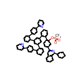 O=S(=O)(Oc1cc(-c2cc3ccccc3c(-c3ccccc3)n2)ccc1-c1ccccc1-c1cc(-c2ccccc2-c2ccc(-c3ccccn3)cc2)cc(-c2ccccc2-c2ccc(-c3ccccn3)cc2)c1)C(F)(F)F